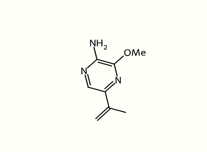 C=C(C)c1cnc(N)c(OC)n1